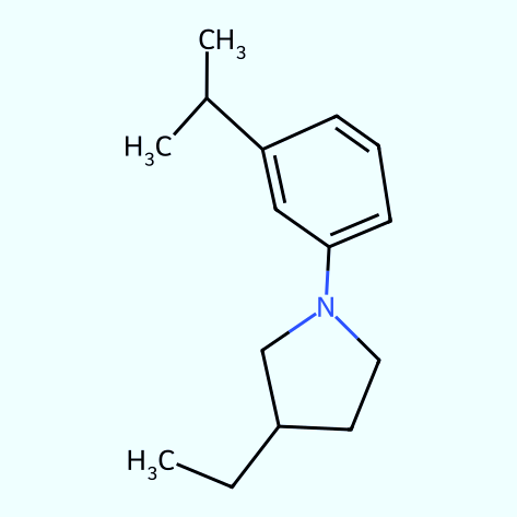 CCC1CCN(c2cccc(C(C)C)c2)C1